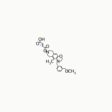 COCc1cccc(CN2CCOc3cc4c(c(C)c32)CCN(OC(=O)/C=C/C(=O)O)CC4)c1